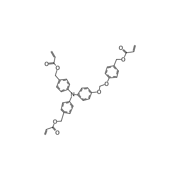 C=CC(=O)OCc1ccc(OCOc2ccc(N(c3ccc(COC(=O)C=C)cc3)c3ccc(COC(=O)C=C)cc3)cc2)cc1